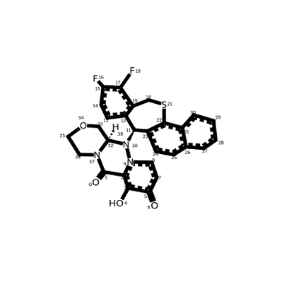 O=C1c2c(O)c(=O)ccn2N([C@H]2c3ccc(F)c(F)c3CSc3c2ccc2ccccc32)[C@@H]2COCCN12